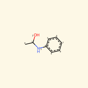 CC(O)Nc1ccccc1